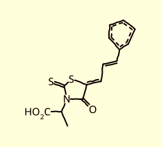 CC(C(=O)O)N1C(=O)C(=CC=Cc2ccccc2)SC1=S